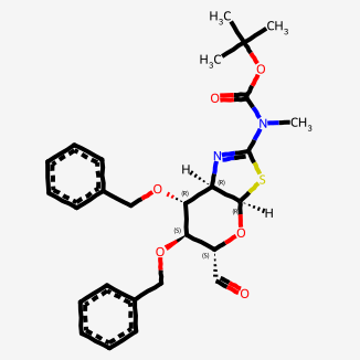 CN(C(=O)OC(C)(C)C)C1=N[C@@H]2[C@@H](OCc3ccccc3)[C@H](OCc3ccccc3)[C@@H](C=O)O[C@@H]2S1